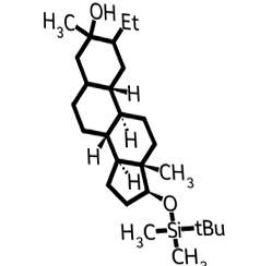 CCC1C[C@H]2C(CC[C@@H]3[C@@H]2CC[C@]2(C)[C@@H](O[Si](C)(C)C(C)(C)C)CC[C@@H]32)CC1(C)O